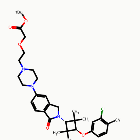 CC(C)(C)OC(=O)COCCN1CCN(c2ccc3c(c2)CN([C@H]2C(C)(C)[C@H](Oc4ccc(C#N)c(Cl)c4)C2(C)C)C3=O)CC1